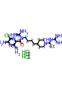 CCC(NC(=N)N)N1CCC(CCCCN(C(=N)N)C(=O)c2nc(Cl)c(N)nc2N)CC1.Cl.Cl.Cl